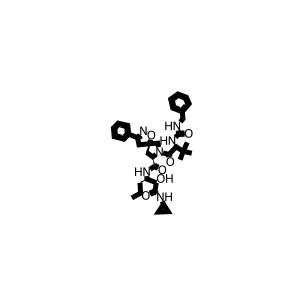 CCC[C@H](NC(=O)[C@@H]1C[C@]2(CC(c3ccccc3)=NO2)CN1C(=O)[C@@H](NC(=O)NCc1ccccc1)C(C)(C)C)C(O)C(=O)NC1CC1